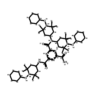 CC1(C)CC(NC(=O)c2nc(C(N)=O)nc(C(=O)N(C3CC(C)(C)N(OC4CCCCC4)C(C)(C)C3)C3CC(C)(C)N(OC4CCCCC4)C(C)(C)C3)n2)CC(C)(C)N1OC1CCCCC1